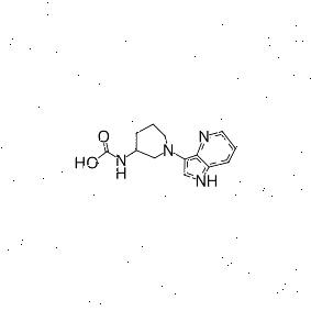 O=C(O)NC1CCCN(c2c[nH]c3cccnc23)C1